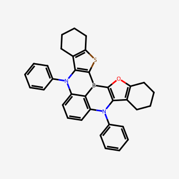 c1ccc(N2c3cccc4c3B(c3oc5c(c32)CCCC5)c2sc3c(c2N4c2ccccc2)CCCC3)cc1